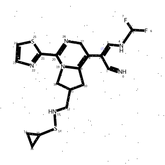 N=C/C(=C\NC(F)F)C1=C2CC(CNSC3CC3)CN2C(c2nccs2)=NC1